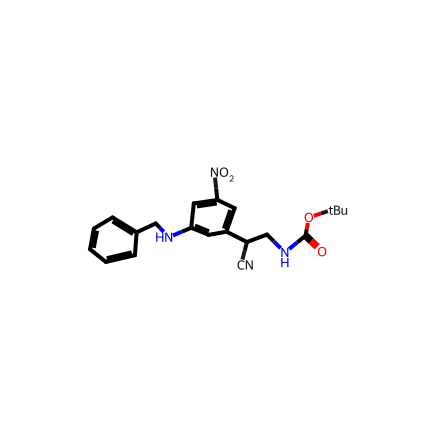 CC(C)(C)OC(=O)NCC(C#N)c1cc(NCc2ccccc2)cc([N+](=O)[O-])c1